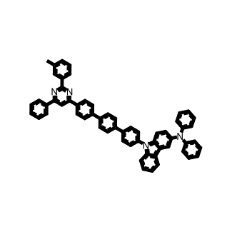 Cc1cccc(-c2nc(-c3ccccc3)cc(-c3ccc(-c4ccc(-c5ccc(-n6c7ccccc7c7cc(N(c8ccccc8)c8ccccc8)ccc76)cc5)cc4)cc3)n2)c1